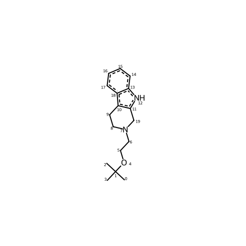 CC(C)(C)OCCN1CCc2c([nH]c3ccccc23)C1